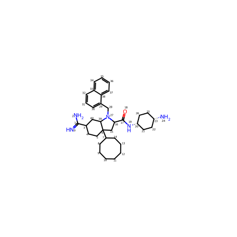 N=C(N)C1CCC2(C3CCCCCCC3)CC(C(=O)N[C@H]3CC[C@@H](N)CC3)N(Cc3cccc4ccccc34)C2C1